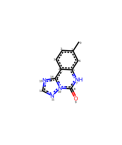 Cc1ccc2c(c1)[nH]c(=O)n1ncnc21